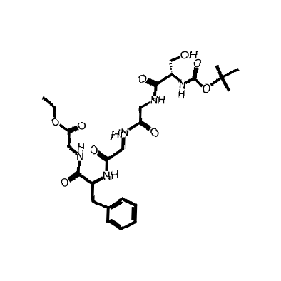 CCOC(=O)CNC(=O)C(Cc1ccccc1)NC(=O)CNC(=O)CNC(=O)[C@H](CO)NC(=O)OC(C)(C)C